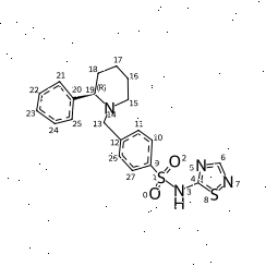 O=S(=O)(Nc1ncns1)c1ccc(CN2CCCC[C@@H]2c2ccccc2)cc1